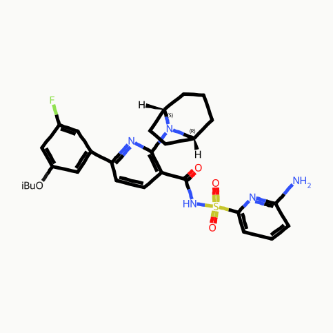 CC(C)COc1cc(F)cc(-c2ccc(C(=O)NS(=O)(=O)c3cccc(N)n3)c(N3[C@@H]4CCC[C@H]3CC4)n2)c1